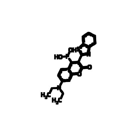 CCN(CC)c1ccc2c(P(O)O)c(-c3nc4ccccc4s3)c(=O)oc2c1